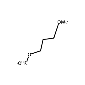 [CH2]OCCCO[C]=O